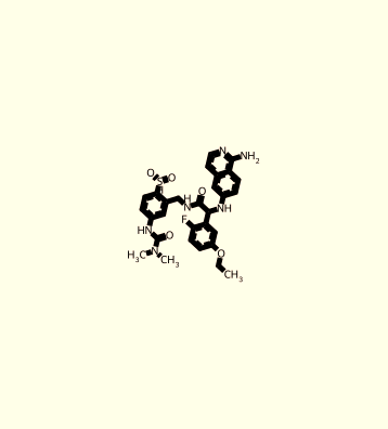 CCOc1ccc(F)c(C(Nc2ccc3c(N)nccc3c2)C(=O)NCc2cc(NC(=O)N(C)C)ccc2[SH](=O)=O)c1